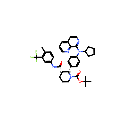 Cc1ccc(NC(=O)[C@H]2CCCN(C(=O)OC(C)(C)C)[C@H]2c2ccc(N(c3nccc4cccnc34)C3CCCC3)cc2)cc1C(F)(F)F